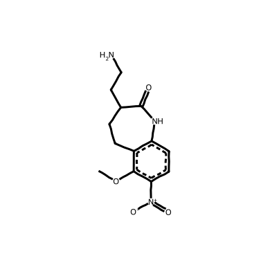 COc1c([N+](=O)[O-])ccc2c1CCC(CCN)C(=O)N2